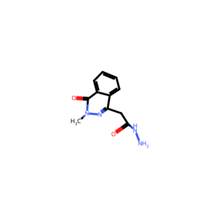 Cn1nc(CC(=O)NN)c2ccccc2c1=O